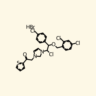 Br.O=C(CN1C=CN(C(Cl)C(OCc2ccc(Cl)cc2Cl)c2ccc(Cl)cc2)C1)c1cccs1